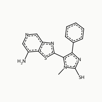 Cn1c(S)nc(-c2ccccc2)c1-c1nc2cncc(N)c2s1